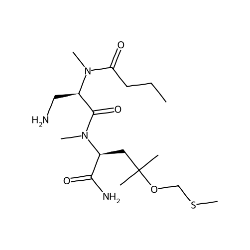 CCCC(=O)N(C)[C@H](CN)C(=O)N(C)[C@@H](CC(C)(C)OCSC)C(N)=O